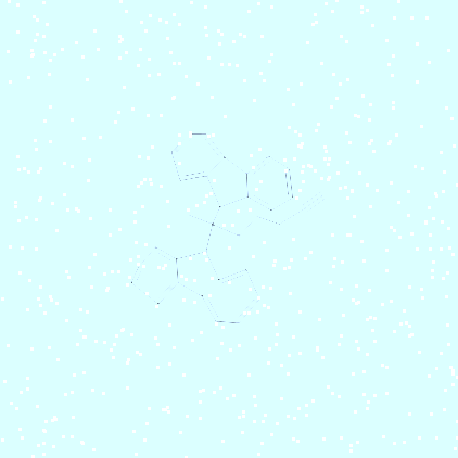 C#CCCCC(C)(C1c2ccccc2-c2ccccc21)C1c2ccccc2-c2ccccc21